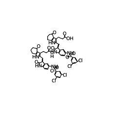 O=C(O)CCc1c(/C=C2\C(=O)Nc3ccc(NS(=O)(=O)c4cc(Cl)cc(Cl)c4)cc32)[nH]c2c1C(=O)CCC2.O=C(O)CCc1c(C=C2C(=O)Nc3ccc(NS(=O)(=O)c4cc(Cl)cc(Cl)c4)cc32)[nH]c2c1C(=O)CCC2